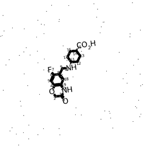 O=C1COc2cc(F)c(CN[C@H]3CC[C@H](C(=O)O)CC3)cc2N1